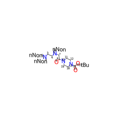 CCCCCCCCCN(CCCCCCCCC)CCN(CCCCCCCCC)CC(=O)N1CCN(C(=O)OC(C)(C)C)CC1